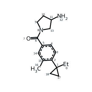 CCC1(c2ccc(C(=O)N3CCC(N)C3)cc2C)CC1